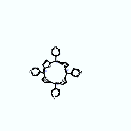 C1=C/C2=C(\c3ccncc3)c3ccc([nH]3)/C(c3ccncc3)=C3/C=CC(N3)/C(c3ccncc3)=c3/cc/c([nH]3)=C(\c3ccncc3)C1=N2